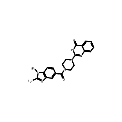 CC(C)n1c(C(F)(F)F)nc2cc(C(=O)N3CCN(c4nc5ccccc5c(=O)[nH]4)CC3)ccc21